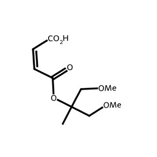 COCC(C)(COC)OC(=O)/C=C\C(=O)O